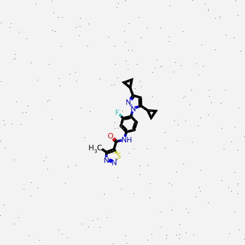 Cc1nnsc1C(=O)Nc1ccc(-n2nc(C3CC3)cc2C2CC2)c(F)c1